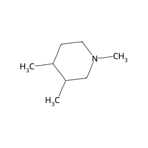 CC1CCN(C)CC1C